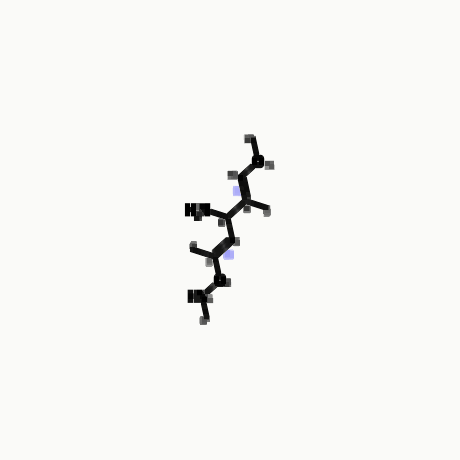 CNO/C(C)=C/C(N)/C(C)=C/OC